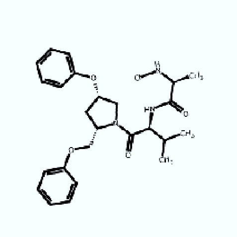 CC(C)[C@H](NC(=O)[C@H](C)NCl)C(=O)N1C[C@@H](Oc2ccccc2)C[C@H]1COc1ccccc1